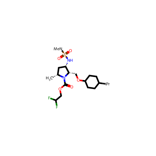 CNS(=O)(=O)N[C@H]1C[C@@H](C)N(C(=O)OCC(F)F)[C@H]1COC1CCC(C(C)C)CC1